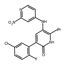 CC(C)c1[nH]c(=O)c(-c2cc(Cl)ccc2F)cc1Nc1ccnc([N+](=O)[O-])c1